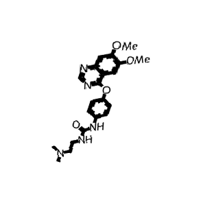 COc1cc2ncnc(Oc3ccc(NC(=O)NCCN(C)C)cc3)c2cc1OC